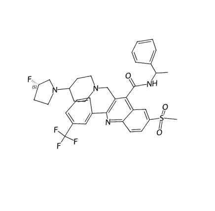 CC(NC(=O)c1c(CN2CCC(N3CC[C@H](F)C3)CC2)c(-c2cccc(C(F)(F)F)c2)nc2ccc(S(C)(=O)=O)cc12)c1ccccc1